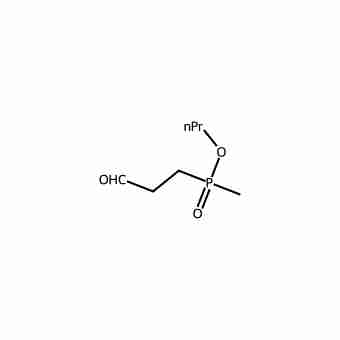 CCCOP(C)(=O)CCC=O